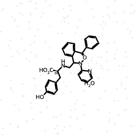 CN(c1ccccn1)C(CN[C@@H](Cc1ccc(O)cc1)C(=O)O)c1ccccc1C(=O)c1ccccc1.O